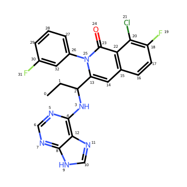 CCC(Nc1ncnc2[nH]cnc12)c1cc2ccc(F)c(Cl)c2c(=O)n1-c1cccc(F)c1